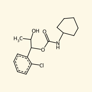 CC(O)C(OC(=O)NC1CCCCC1)c1ccccc1Cl